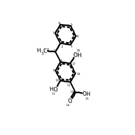 CC(c1ccccc1)c1cc(O)c(C(=O)O)cc1O